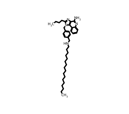 CCCCCCCCCCCCCCCCCNCc1ccc(Cn2c(CCCC)nc3c(N)nc4ccccc4c32)cc1